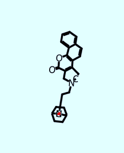 O=c1oc2c(ccc3ccccc32)c2c1CN(CCN1CC3CCC(CC3)C1)CC2